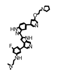 CN(C)CCNc1cc(F)cc(-c2cncc3[nH]c(-c4n[nH]c5ccc(-c6cncc(OCCN7CCCC7)c6)cc45)cc23)c1